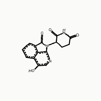 O=C1CCC(N2C(=O)c3cccc4c(O)cnc2c34)C(=O)N1